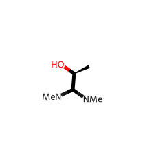 CNC(NC)[C@H](C)O